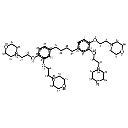 c1cc(OCCN2CCOCC2)c(OCCN2CCOCC2)cc1CCCCc1ccc(OCCN2CCOCC2)c(OCCN2CCOCC2)c1